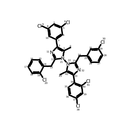 Cc1c(-c2cc(Cl)cc(Cl)c2)nc(Cc2ccccc2Cl)n1-n1c(Cc2cccc(Cl)c2)nc(-c2ccc(Cl)cc2Cl)c1C